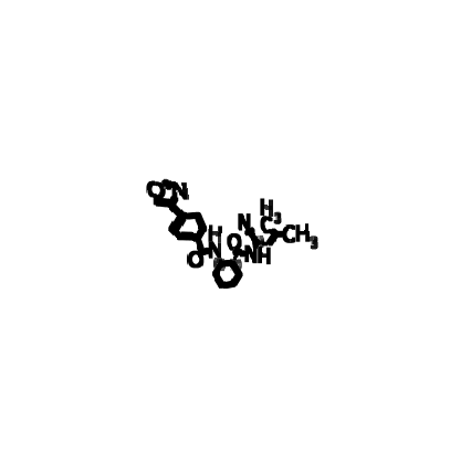 CC(C)C[C@@H](C#N)NC(=O)[C@@H]1CCCC[C@@H]1NC(=O)c1ccc(-c2cocn2)cc1